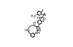 Cc1ccc(F)c(C2(C(=O)Nc3ccc(-c4cnc5nc4NCCCNSc4cccc(c4)N5)cc3F)CC2)c1